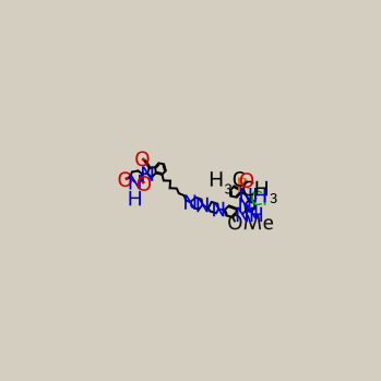 COc1cc(N2CCC(N3CCN(CCCCCCCc4cccc5c4CN(C4CCC(=O)NC4=O)C5=C=O)CC3)CC2)ccc1Nc1ncc(Cl)c(Nc2ccccc2P(C)(C)=O)n1